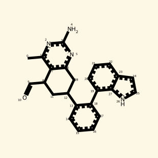 Cc1nc(N)nc2c1C(C=O)CC(c1ccccc1-c1cccc3cc[nH]c13)C2